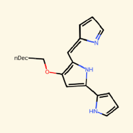 CCCCCCCCCCCOc1cc(-c2ccc[nH]2)[nH]c1C=C1C=CC=N1